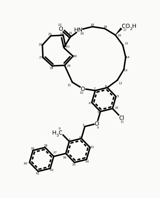 Cc1c(COc2cc3c(cc2Cl)CCCC[C@H](C(=O)O)CCNC(=O)C2=C\CC\C=C/C(=C\2)CO3)cccc1-c1ccccc1